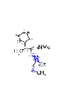 CCN(/C=N\C)/N=C/C(CNC)C(C)C1CCCCC1